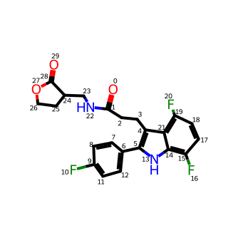 O=C(CCc1c(-c2ccc(F)cc2)[nH]c2c(F)ccc(F)c12)NCC1CCOC1=O